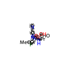 COc1cc(-c2nn(-c3ccc(CCN4CCCC4)cc3)c(=O)n2CC(=O)NC(C)C)ccc1F.O=CO